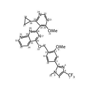 COc1cc(-c2nc(C(F)(F)F)cn2C)ccc1COc1nc(-c2c(OC)ncnc2C2CC2)nc2ncccc12